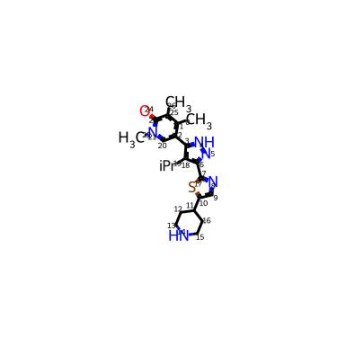 Cc1c(-c2[nH]nc(-c3ncc(C4CCNCC4)s3)c2C(C)C)cn(C)c(=O)c1C